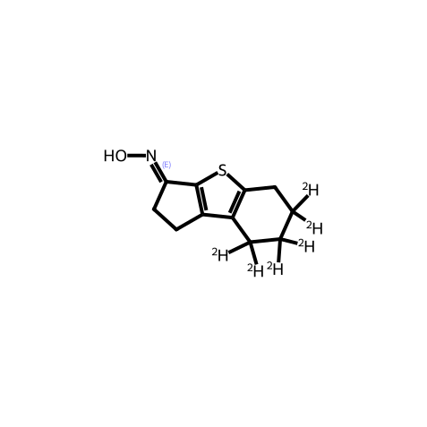 [2H]C1([2H])Cc2sc3c(c2C([2H])([2H])C1([2H])[2H])CC/C3=N\O